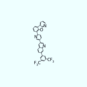 FC(F)(F)c1cc(-c2ccc3cc(-c4ccc(-c5cccc6c5oc5ncccc56)nc4)cnc3c2)cc(C(F)(F)F)c1